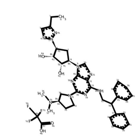 CCc1cnn([C@H]2C[C@@H](n3cnc4c(NCC(c5ccccc5)c5ccccc5)nc(N5CC[C@@H](N(C)C)C5)nc43)[C@H](O)[C@@H]2O)n1.O=C(O)C(F)(F)F